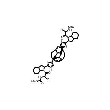 COC(=O)NC(C(=O)N1C(c2nc(C#Cc3cc4ccc3CCc3ccc(c(C#Cc5c[nH]c(C6CC7CCCCC7N6C(=O)C(NC=O)C(C)C)n5)c3)CC4)c[nH]2)CC2CCCCC21)C(C)C